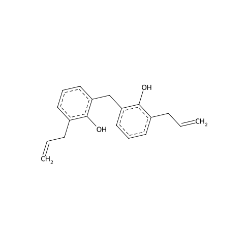 C=CCc1cccc(Cc2cccc(CC=C)c2O)c1O